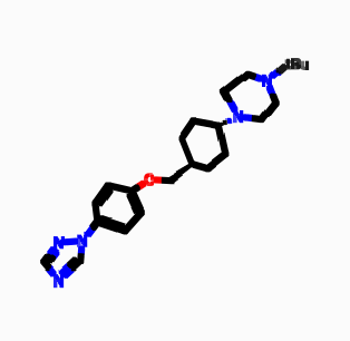 CC(C)(C)N1CCN([C@H]2CC[C@H](COc3ccc(-n4cncn4)cc3)CC2)CC1